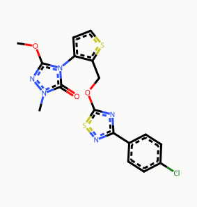 COc1nn(C)c(=O)n1-c1ccsc1COc1nc(-c2ccc(Cl)cc2)ns1